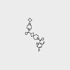 O=C(c1ncc(F)cc1F)N1CCC2(CC1)CC(C(=O)N1CCN(C3CCC3)CC1)C2